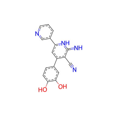 N#Cc1c(-c2ccc(O)c(O)c2)cc(-c2cccnc2)[nH]c1=N